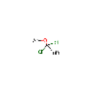 CCCC(Cl)(Cl)OC(C)=O